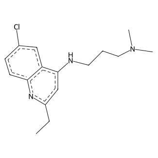 CCc1cc(NCCCN(C)C)c2cc(Cl)ccc2n1